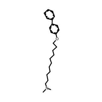 CN(C)CCCCCCCCCCCOc1ccc(-c2ccccc2)cc1